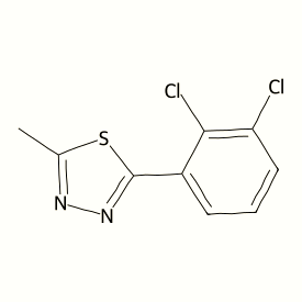 Cc1nnc(-c2cccc(Cl)c2Cl)s1